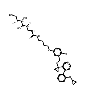 O=C(NCCCCOc1ccc(Cl)c(COC2(c3cnccc3-c3ccccc3OC3CC3)CC2)c1)NC[C@H](O)[C@@H](O)[C@H](O)[C@H](O)CO